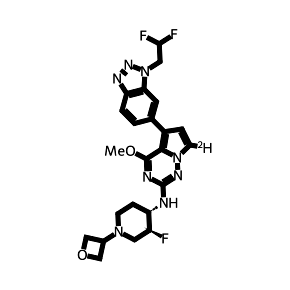 [2H]c1cc(-c2ccc3nnn(CC(F)F)c3c2)c2c(OC)nc(N[C@H]3CCN(C4COC4)C[C@@H]3F)nn12